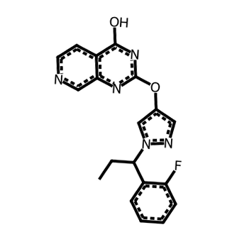 CCC(c1ccccc1F)n1cc(Oc2nc(O)c3ccncc3n2)cn1